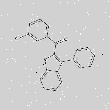 O=C(c1cccc(Br)c1)c1sc2ccccc2c1-c1ccccc1